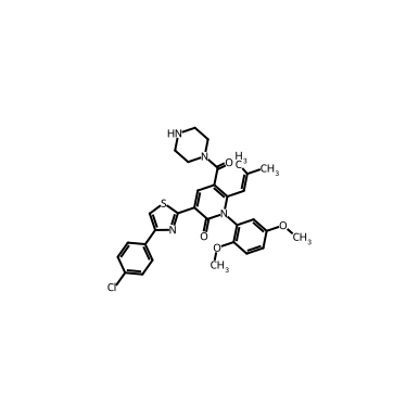 COc1ccc(OC)c(-n2c(C=C(C)C)c(C(=O)N3CCNCC3)cc(-c3nc(-c4ccc(Cl)cc4)cs3)c2=O)c1